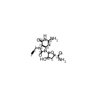 C#CCn1c(=O)n([C@@H]2O[C@H](C(N)=O)C[C@H]2O)c2nc(N)[nH]c(=O)c21